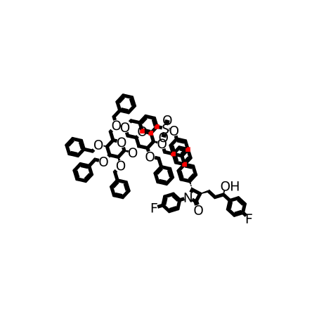 O=C1[C@H](CC[C@H](O)c2ccc(F)cc2)[C@@H](c2ccc(-c3ccc(OS(=O)(=O)C[C@@H]4OC(COCc5ccccc5)[C@@H](O[C@@H]5OC(COCc6ccccc6)[C@@H](OCc6ccccc6)C(OCc6ccccc6)[C@@H]5OCc5ccccc5)C(OCc5ccccc5)[C@@H]4OCc4ccccc4)cc3)cc2)N1c1ccc(F)cc1